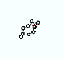 c1ccc(-c2cccc(-c3cccc(N(c4ccc(-c5cccc(-c6ccc7ccccc7c6)c5)cc4)c4ccccc4-n4c5ccccc5c5ccccc54)c3)c2)cc1